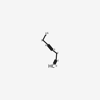 C#CCC#CCI